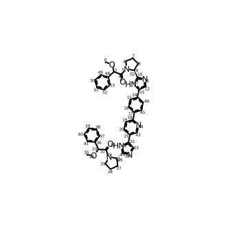 COC(C(=O)N1CCC[C@H]1c1ncc(-c2ccc(-c3ccc(-c4cnc([C@@H]5CCCN5C(=O)C(OC)c5ccccc5)[nH]4)cn3)cc2)[nH]1)c1ccccc1